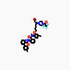 Cc1ccc(-c2ccccc2C(=O)Nc2ccccc2C(=O)N(C)c2ccc(C)cc2OCCCCC(=C=O)N2CCN(C(=O)C(F)(F)F)CC2)cc1